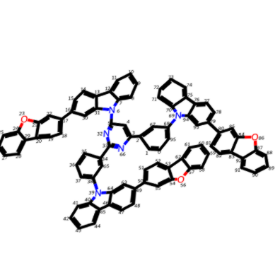 c1cc(-c2cc(-n3c4ccccc4c4ccc(-c5ccc6c(c5)oc5ccccc56)cc43)nc(-c3cccc(-n4c5ccccc5c5ccc(-c6ccc7c(c6)oc6ccccc67)cc54)c3)n2)cc(-n2c3ccccc3c3ccc(-c4ccc5c(c4)oc4ccccc45)cc32)c1